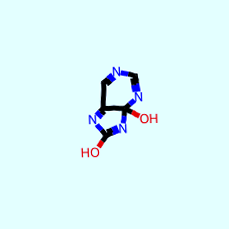 OC1=NC2(O)N=CN=CC2=N1